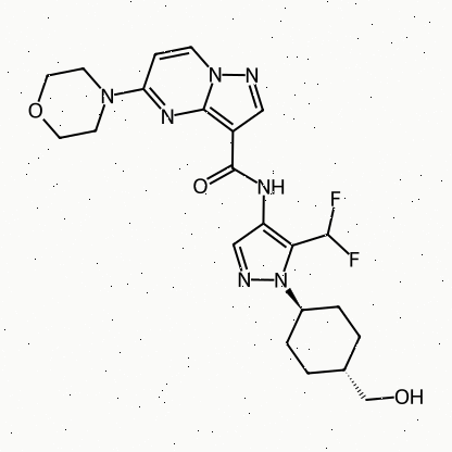 O=C(Nc1cnn([C@H]2CC[C@H](CO)CC2)c1C(F)F)c1cnn2ccc(N3CCOCC3)nc12